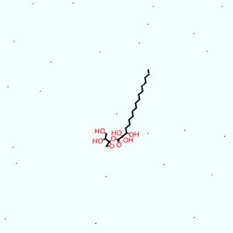 CCCCCCCCCCCCCCCC(O)C(O)(O)C(=O)OC1(C(O)CO)CO1